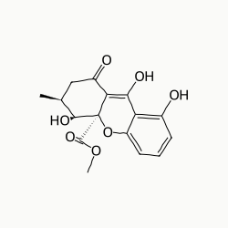 COC(=O)[C@@]12Oc3cccc(O)c3C(O)=C1C(=O)C[C@H](C)[C@@H]2O